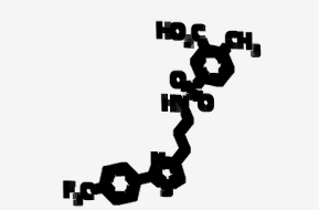 Cc1ccc(S(=O)(=O)NCCCc2csc(-c3ccc(C(F)(F)F)cc3)n2)cc1C(=O)O